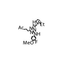 CCN1CCCC1CNc1nc(CCCC(C)=O)nc(Nc2ccc(OC)c(F)c2)n1